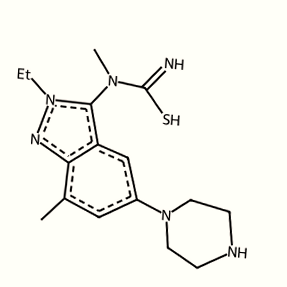 CCn1nc2c(C)cc(N3CCNCC3)cc2c1N(C)C(=N)S